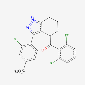 CCOC(=O)c1ccc(-c2n[nH]c3c2C(C(=O)c2c(F)cccc2Br)CCC3)c(F)c1